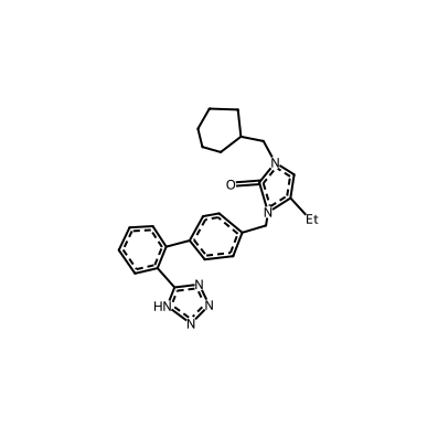 CCc1cn(CC2CCCCC2)c(=O)n1Cc1ccc(-c2ccccc2-c2nnn[nH]2)cc1